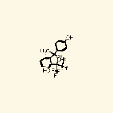 CC(C)(c1ccc(O)cc1)c1cccc(O)c1C(O)(C(F)(F)F)C(F)(F)F